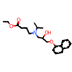 CCOC(=O)CCCN(CC(O)COc1cccc2ccccc12)C(C)C